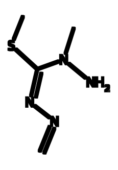 C=N/N=C(/SC)N(C)N